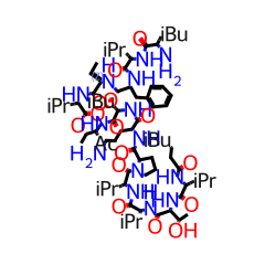 C/C=C(\NC(=O)C(Cc1ccccc1)NC(=O)C(NC(=O)C(N)C(C)CC)C(C)C)C(=O)NC(C(=O)OC(C)C(NC(=O)C(NC(=O)C(CCCN)NC(=O)C1CCCN1C(=O)C(NC(=O)C(NC(=O)C(NC(=O)C(NC(=O)CCC(C)CC)C(C)C)C(C)O)C(C)C)C(C)C)C(C)CC)C(C)=O)C(C)C